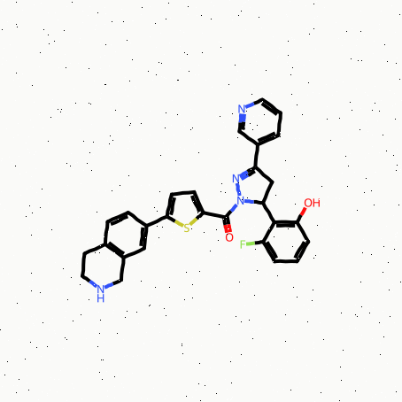 O=C(c1ccc(-c2ccc3c(c2)CNCC3)s1)N1N=C(c2cccnc2)CC1c1c(O)cccc1F